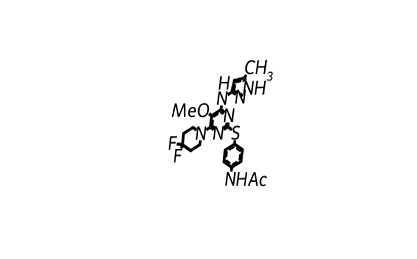 COc1c(Nc2cc(C)[nH]n2)nc(Sc2ccc(NC(C)=O)cc2)nc1N1CCC(F)(F)CC1